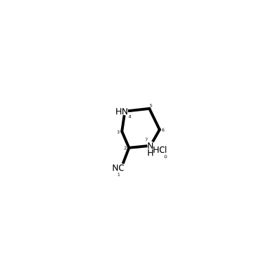 Cl.N#CC1CNCCN1